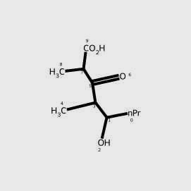 CCCC(O)C(C)C(=O)C(C)C(=O)O